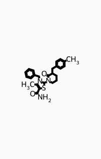 CC1=C(C(N)=O)SC(N2CCCC(Cc3ccc(C)cc3)C2=O)N1Cc1ccccc1